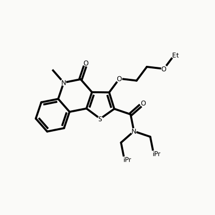 CCOCCOc1c(C(=O)N(CC(C)C)CC(C)C)sc2c1c(=O)n(C)c1ccccc21